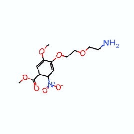 COC(=O)C1C=C(OC)C(OCCOCCN)=CC1[N+](=O)[O-]